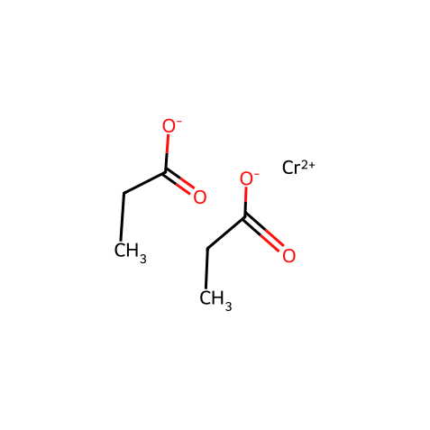 CCC(=O)[O-].CCC(=O)[O-].[Cr+2]